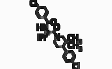 CC(C)[C@@H](NC(=O)C1=CCC(Cl)C=C1)C(=O)N1CCC(c2ccc(Cl)cc2)C(C)(C)C1